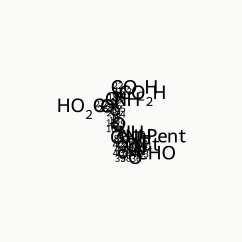 CCCCC[C@@H](C(=O)NCNC(=O)c1ccc(-c2ccc(C(=O)N[C@@H](CC(=O)O)C(=O)O)c(OCC(=O)O)c2)o1)[C@@H](CC)N(C=O)OC(=O)c1cccc2ccccc12